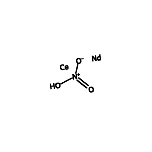 O=[N+]([O-])O.[Ce].[Nd]